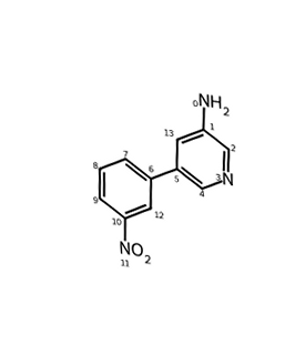 Nc1cncc(-c2cccc([N+](=O)[O-])c2)c1